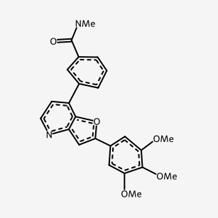 CNC(=O)c1cccc(-c2ccnc3cc(-c4cc(OC)c(OC)c(OC)c4)oc23)c1